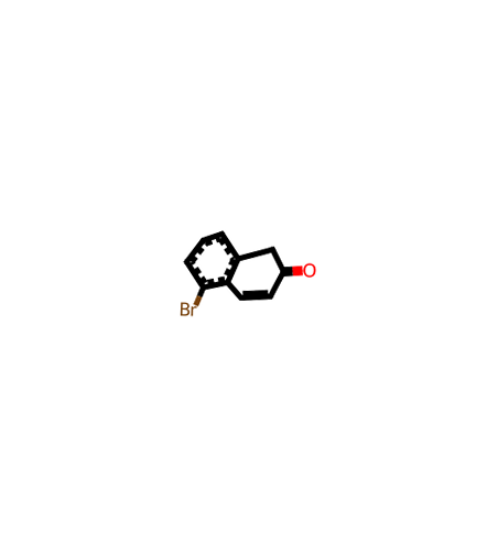 O=C1C=Cc2c(Br)cccc2C1